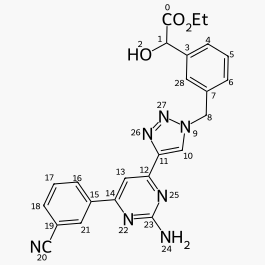 CCOC(=O)C(O)c1cccc(Cn2cc(-c3cc(-c4cccc(C#N)c4)nc(N)n3)nn2)c1